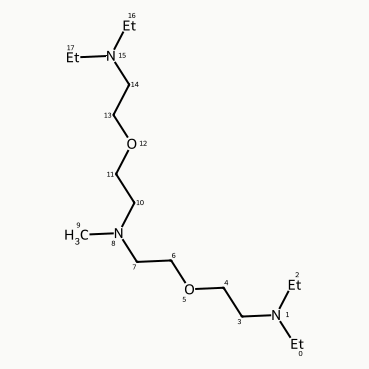 CCN(CC)CCOCCN(C)CCOCCN(CC)CC